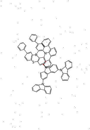 c1ccc(-c2ccc3c(c2)B2c4cc(-c5ccccc5)ccc4N(c4c(-c5ccccc5)cccc4-c4ccccc4)c4cc(-n5c6ccc(-n7c8ccccc8c8ccccc87)cc6c6cc(-n7c8ccccc8c8ccccc87)ccc65)cc(c42)S3)cc1